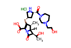 CC(O)[C@H]1C(=O)N2C(C(=O)O)=C(S[C@@H]3CN[C@H](C(=O)N4CCCN(CCO)CC4)C3)[C@H](C)[C@H]12.Cl